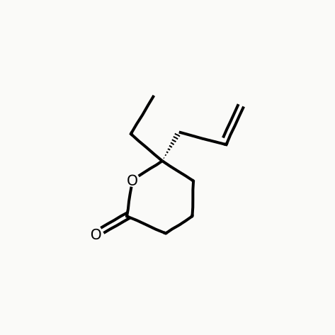 C=CC[C@]1(CC)CCCC(=O)O1